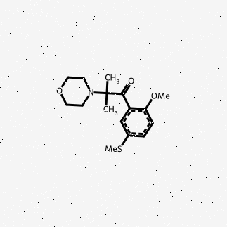 COc1ccc(SC)cc1C(=O)C(C)(C)N1CCOCC1